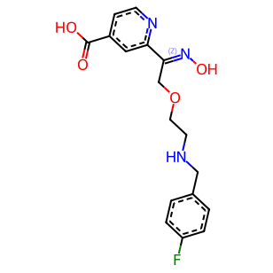 O=C(O)c1ccnc(/C(COCCNCc2ccc(F)cc2)=N/O)c1